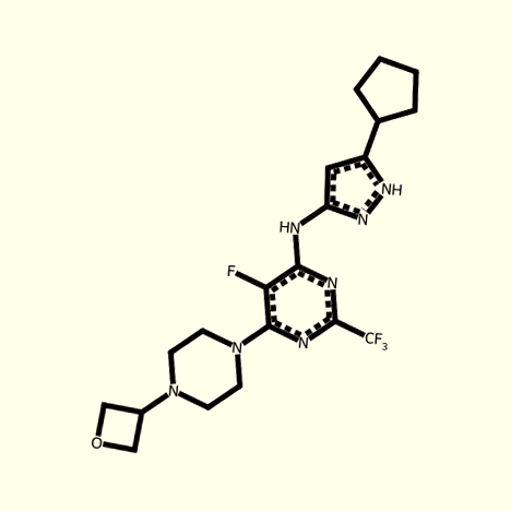 Fc1c(Nc2cc(C3CCCC3)[nH]n2)nc(C(F)(F)F)nc1N1CCN(C2COC2)CC1